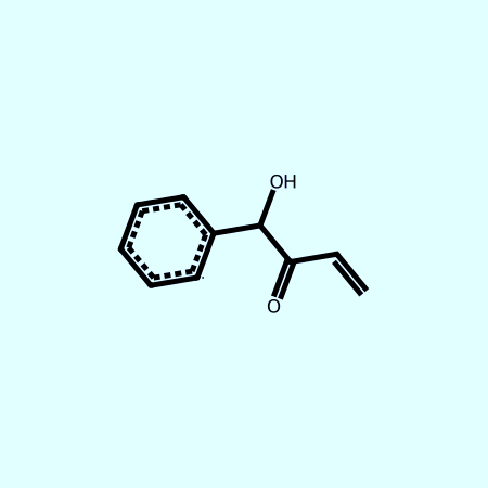 C=CC(=O)C(O)c1[c]cccc1